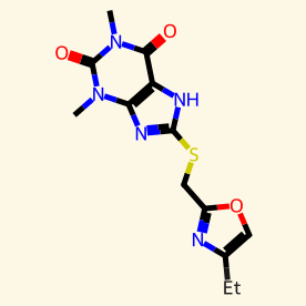 CCc1coc(CSc2nc3c([nH]2)c(=O)n(C)c(=O)n3C)n1